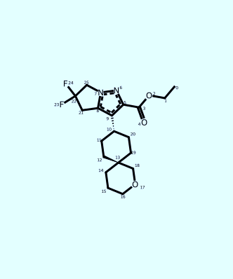 CCOC(=O)c1nn2c(c1[C@H]1CC[C@@]3(CCCOC3)CC1)CC(F)(F)C2